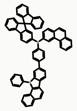 c1ccc(-n2c3cc(-c4ccc(N(c5ccc6c(c5)C5(c7ccccc7-c7ccccc75)c5ccccc5-6)c5ccc6ccc7ccccc7c6c5)cc4)ccc3c3ccc4ccccc4c32)cc1